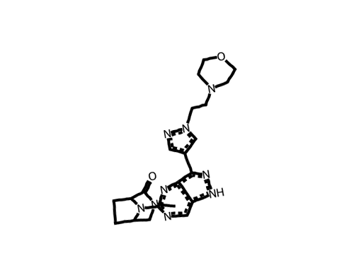 CN1CC2CCC(C1=O)N2c1ncc2[nH]nc(-c3cnn(CCN4CCOCC4)c3)c2n1